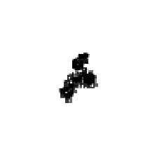 Cc1cn2cccc(OC(NC(=O)C(Cl)NC(=O)[N+]3(C)CCOC(Cl)C3)c3ccccc3)c2n1.Cl